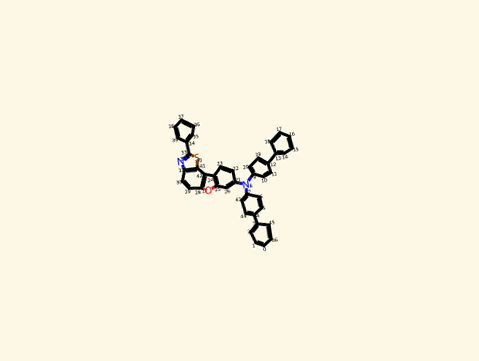 c1ccc(-c2ccc(N(c3ccc(-c4ccccc4)cc3)c3ccc4c(c3)oc3ccc5nc(-c6ccccc6)sc5c34)cc2)cc1